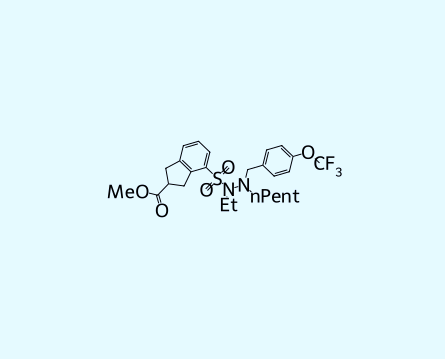 CCCCCN(Cc1ccc(OC(F)(F)F)cc1)N(CC)S(=O)(=O)c1cccc2c1CC(C(=O)OC)C2